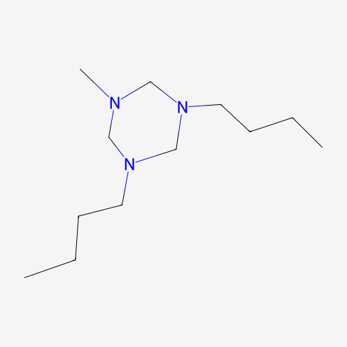 CCCCN1CN(C)CN(CCCC)C1